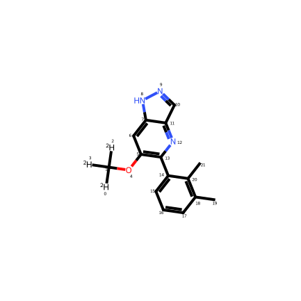 [2H]C([2H])([2H])Oc1cc2[nH]ncc2nc1-c1cccc(C)c1C